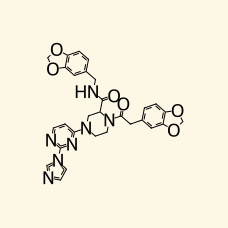 O=C(NCc1ccc2c(c1)OCO2)C1CN(c2ccnc(-n3ccnc3)n2)CCN1C(=O)Cc1ccc2c(c1)OCO2